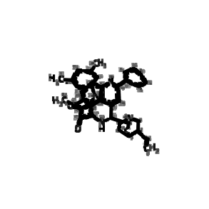 C=CC1CN2CCC1CC2[C@@H](Nc1c(Nc2cc(C)cc(C)c2)c(=O)c1=O)c1cc(-c2ccccc2)nc2ccc(OC)cc12